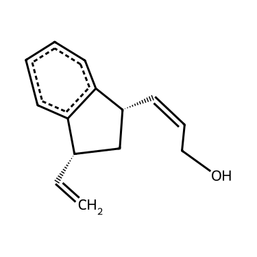 C=C[C@H]1C[C@@H](/C=C\CO)c2ccccc21